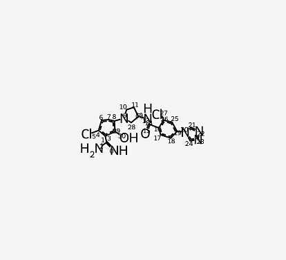 N=C(N)c1c(Cl)ccc(N2CC[C@@H](NC(=O)c3ccc(-n4cnnc4)cc3Cl)C2)c1O